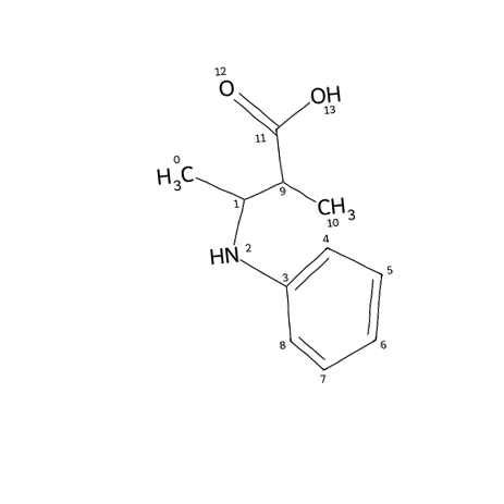 CC(Nc1ccccc1)C(C)C(=O)O